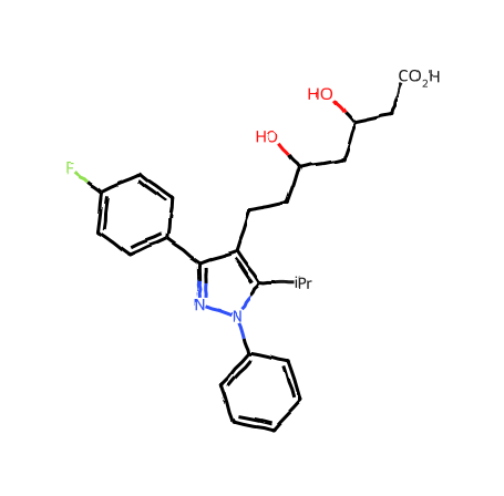 CC(C)c1c(CCC(O)CC(O)CC(=O)O)c(-c2ccc(F)cc2)nn1-c1ccccc1